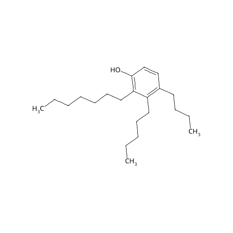 CCCCCCCc1c(O)ccc(CCCC)c1CCCCC